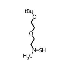 CN(S)CCOCCOC(C)(C)C